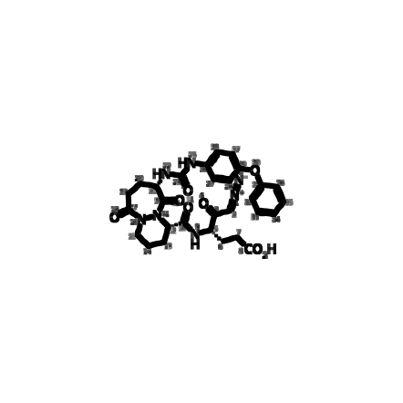 [N-]=[N+]=CC(=O)[C@H](CCC(=O)O)NC(=O)[C@@H]1CCCN2C(=O)CC[C@H](NC(=O)Nc3ccc(Oc4ccccc4)cc3)C(=O)N12